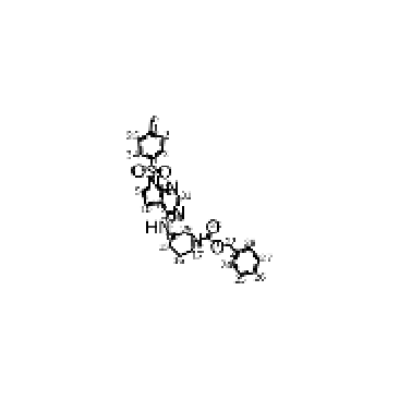 Cc1ccc(S(=O)(=O)n2ccc3c(N[C@@H]4CCCN(C(=O)OCc5ccccc5)C4)ncnc32)cc1